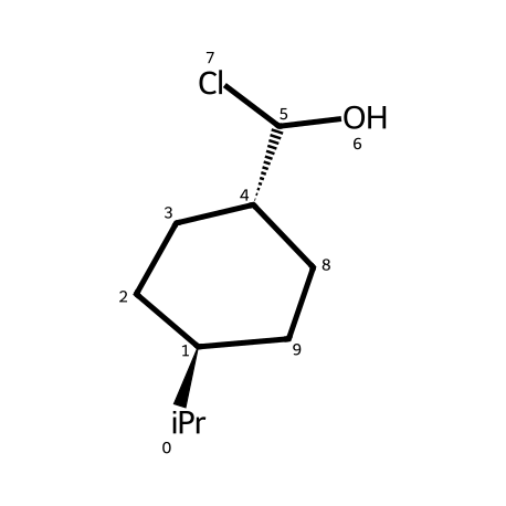 CC(C)[C@H]1CC[C@H](C(O)Cl)CC1